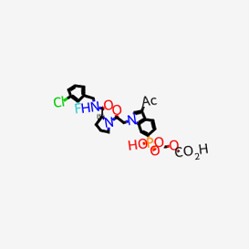 CC(=O)c1cn(CC(=O)N2CCC[C@H]2C(=O)NCc2cccc(Cl)c2F)c2cc(P(=O)(O)OCOC(=O)O)ccc12